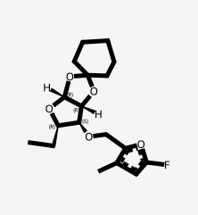 CC[C@H]1O[C@@H]2OC3(CCCCC3)O[C@@H]2[C@H]1OCc1oc(F)cc1C